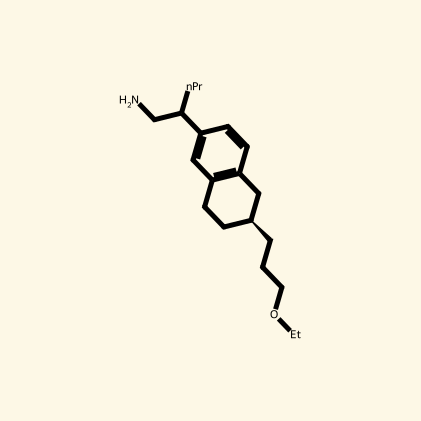 CCCC(CN)c1ccc2c(c1)CC[C@H](CCCOCC)C2